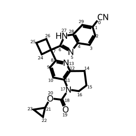 N#Cc1ccc2nc(C3(c4ccc5c(n4)CCCN5C(=O)OC4CC4)CCC3)[nH]c2c1